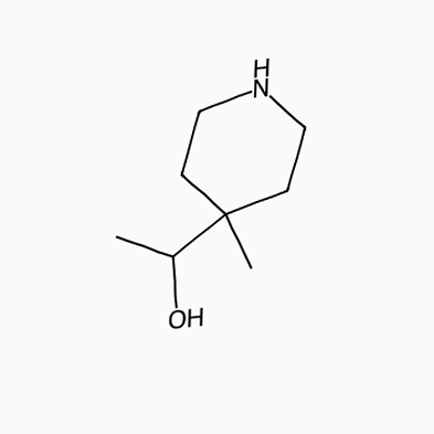 CC(O)C1(C)CCNCC1